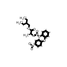 CCC(CC)COC(=O)[C@H](C)N=[P+]([O-])Oc1ccccc1Oc1ccc([N+](=O)[O-])cc1